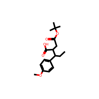 CCC(c1ccc(OC)cc1)C(CC(=O)OC(C)(C)C)C(=O)O